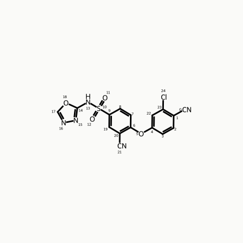 N#Cc1ccc(Oc2ccc(S(=O)(=O)Nc3nnco3)cc2C#N)cc1Cl